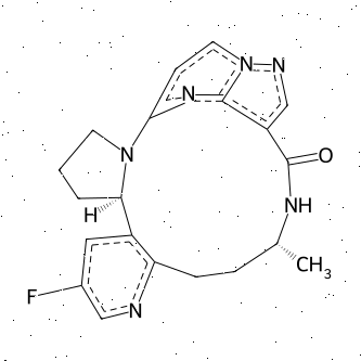 C[C@@H]1CCc2ncc(F)cc2[C@H]2CCCN2c2ccn3ncc(c3n2)C(=O)N1